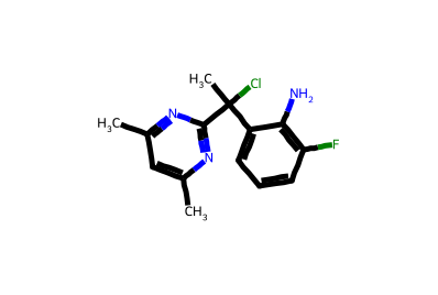 Cc1cc(C)nc(C(C)(Cl)c2cccc(F)c2N)n1